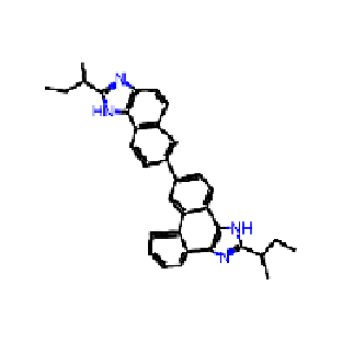 CCC(C)c1nc2ccc3cc(-c4ccc5c(c4)c4ccccc4c4nc(C(C)CC)[nH]c54)ccc3c2[nH]1